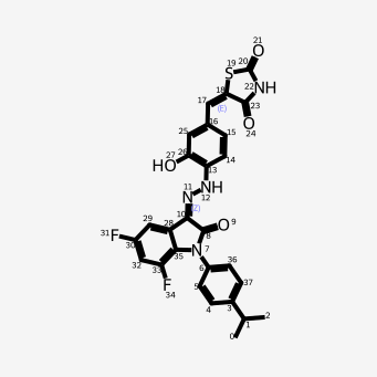 CC(C)c1ccc(N2C(=O)/C(=N\Nc3ccc(/C=C4/SC(=O)NC4=O)cc3O)c3cc(F)cc(F)c32)cc1